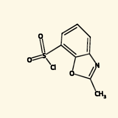 Cc1nc2cccc(S(=O)(=O)Cl)c2o1